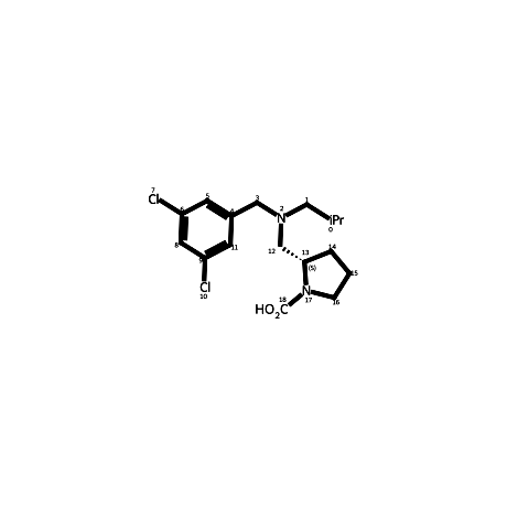 CC(C)CN(Cc1cc(Cl)cc(Cl)c1)C[C@@H]1CCCN1C(=O)O